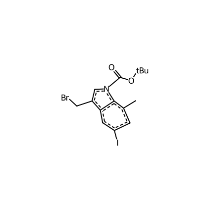 Cc1cc(I)cc2c(CBr)cn(C(=O)OC(C)(C)C)c12